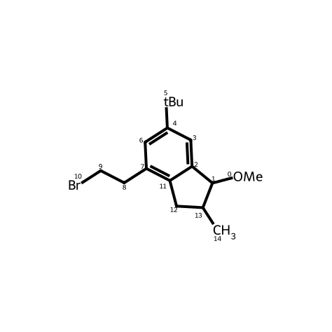 COC1c2cc(C(C)(C)C)cc(CCBr)c2CC1C